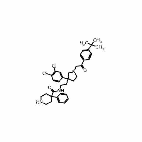 CC(C)(C)c1ccc(C(=O)CN2CCC(CCNC(=O)C3(c4ccccc4)CCNCC3)(c3ccc(Cl)c(Cl)c3)C2)cc1